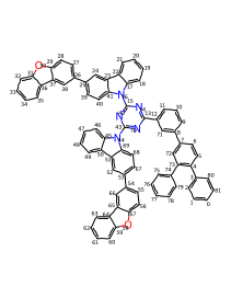 c1ccc(-c2ccc(-c3cccc(-c4nc(-n5c6ccccc6c6cc(-c7ccc8oc9ccccc9c8c7)ccc65)nc(-n5c6ccccc6c6cc(-c7ccc8oc9ccccc9c8c7)ccc65)n4)c3)cc2-c2ccccc2)cc1